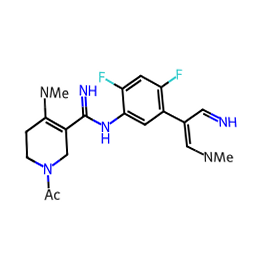 CN/C=C(\C=N)c1cc(NC(=N)C2=C(NC)CCN(C(C)=O)C2)c(F)cc1F